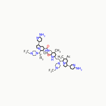 CC(=O)c1cc2c(-c3ccc(N)nc3)ccn2c(C(CCc2cc(C)c(CNC(=O)c3cc4c(-c5ccc(N)nc5)ccn4c(C(C)N4CCN(CC(F)(F)F)CC4)c3C)c(=O)[nH]2)N2CCN(CC(F)(F)F)CC2)c1C